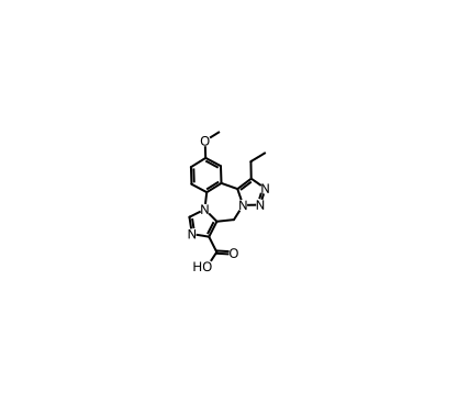 CCc1nnn2c1-c1cc(OC)ccc1-n1cnc(C(=O)O)c1C2